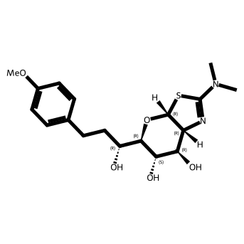 COc1ccc(CC[C@@H](O)[C@H]2O[C@@H]3SC(N(C)C)=N[C@@H]3[C@@H](O)[C@@H]2O)cc1